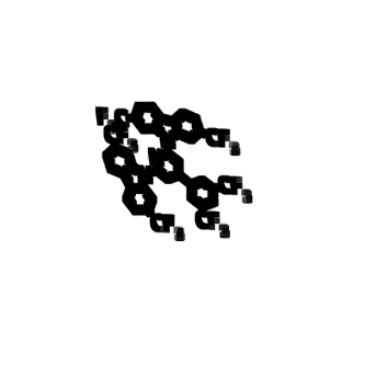 FC(F)(F)c1cc(-c2cc(-n3c4cc(C(F)(F)F)ccc4c4ccc(C(F)(F)F)cc43)nc(-n3c4cc(C(F)(F)F)ccc4c4ccc(C(F)(F)F)cc43)c2)cc(C(F)(F)F)c1